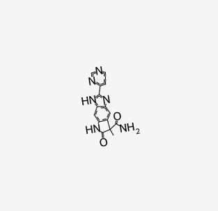 CC1(C(N)=O)C(=O)Nc2cc3[nH]c(-c4ccncn4)nc3cc21